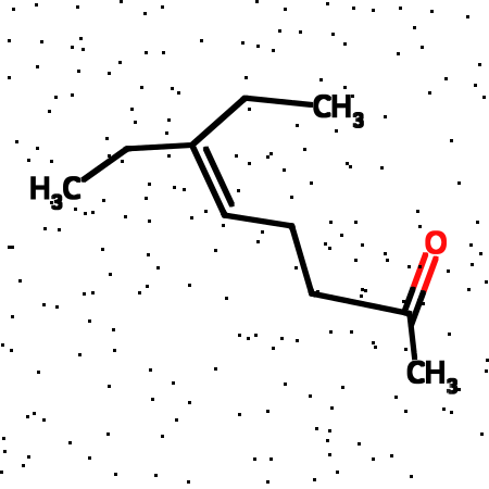 CCC(=CCCC(C)=O)CC